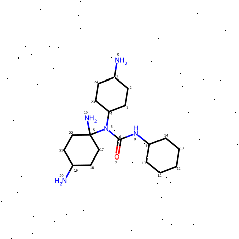 NC1CCC(N(C(=O)NC2CCCCC2)C2(N)CCC(N)CC2)CC1